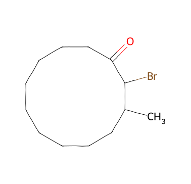 CC1CCCCCCCCCC(=O)C1Br